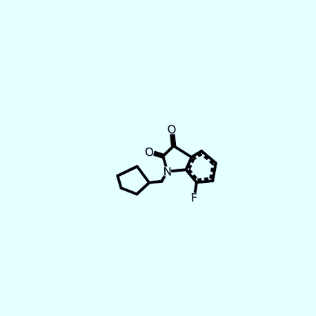 O=C1C(=O)N(CC2CCCC2)c2c(F)cccc21